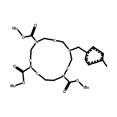 Cc1ccc(CN2CCCN(C(=O)OC(C)(C)C)CCN(C(=O)OC(C)(C)C)CCCN(C(=O)OC(C)(C)C)CC2)cc1